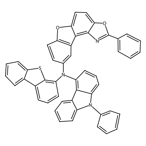 c1ccc(-c2nc3c(ccc4oc5ccc(N(c6cccc7c6sc6ccccc67)c6cccc7c6c6ccccc6n7-c6ccccc6)cc5c43)o2)cc1